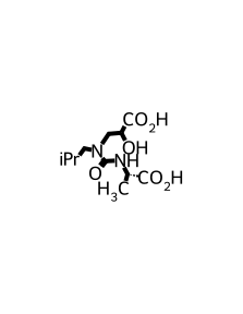 CC(C)CN(CC(O)C(=O)O)C(=O)N[C@@H](C)C(=O)O